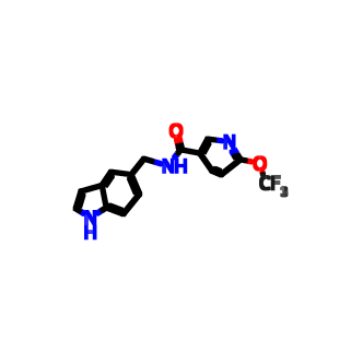 O=C(NCc1ccc2[nH]ccc2c1)c1ccc(OC(F)(F)F)nc1